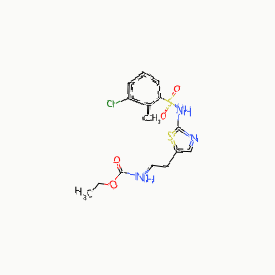 CCOC(=O)NCCc1cnc(NS(=O)(=O)c2cccc(Cl)c2C)s1